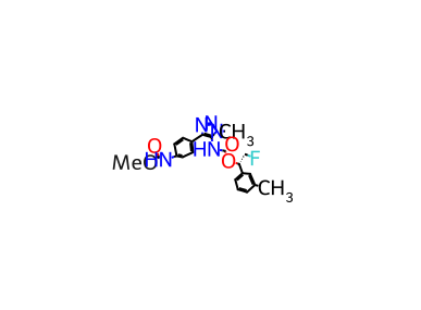 COC(=O)Nc1ccc(-c2nnn(C)c2NC(=O)O[C@H](CF)c2cccc(C)c2)cc1